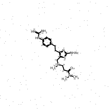 CC(=O)Nc1nc(CCc2ccc(NC(=N)N)cc2)c(CN(C)CCC(=O)N(C)C)s1